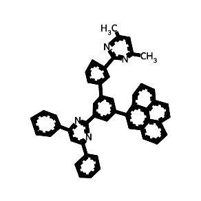 Cc1cc(C)nc(-c2cccc(-c3cc(-c4nc(-c5ccccc5)cc(-c5ccccc5)n4)cc(-c4cc5cccc6ccc7cccc4c7c65)c3)c2)n1